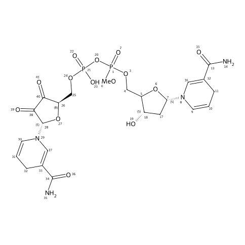 COP(=O)(OCC1O[C@H](N2C=CCC(C(N)=O)=C2)C[C@@H]1O)OP(=O)(O)OC[C@H]1O[C@H](N2C=CCC(C(N)=O)=C2)C(=O)C1=O